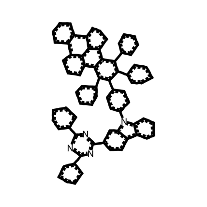 c1ccc(-c2nc(-c3ccccc3)nc(-c3ccc4c5ccccc5n(-c5ccc(-c6c(-c7ccccc7)c(-c7ccccc7)c7c8cccc9c%10ccccc%10c%10cccc(c7c6-c6ccccc6)c%10c98)cc5)c4c3)n2)cc1